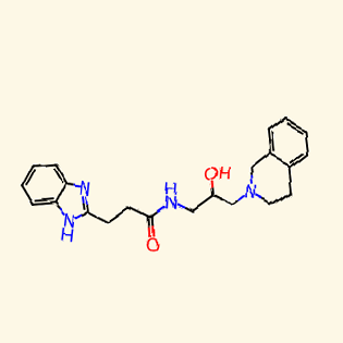 O=C(CCc1nc2ccccc2[nH]1)NCC(O)CN1CCc2ccccc2C1